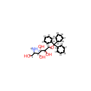 N[C@H](CO)[C@@H](O)[C@H](O)C(O)COC(c1ccccc1)(c1ccccc1)c1ccccc1